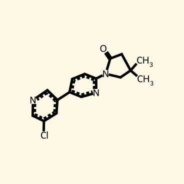 CC1(C)CC(=O)N(c2ccc(-c3cncc(Cl)c3)cn2)C1